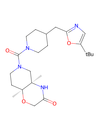 CC(C)(C)c1cnc(CC2CCN(C(=O)N3CC[C@]4(C)OCC(=O)N[C@]4(C)C3)CC2)o1